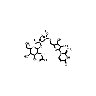 C=C1NC(=O)C=CN1C1OC(COP(=O)(OI)OP(=O)(OI)O[C@@H]2OC(CC)[C@H](O)[C@H](O)C2NC(C)=O)C(O)C1O